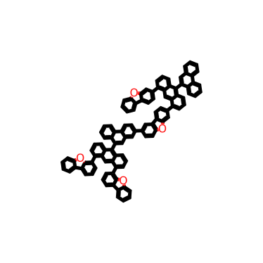 c1ccc2c(c1)cc(-c1c3cccc(-c4ccc5c(c4)oc4ccccc45)c3cc3c(-c4ccc5c(c4)oc4ccc(-c6ccc7c(c6)cc(-c6c8cccc(-c9cccc%10c9oc9ccccc9%10)c8cc8c(-c9cccc%10c9oc9ccccc9%10)cccc68)c6ccccc67)cc45)cccc13)c1ccccc12